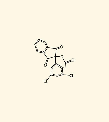 CC(=O)OC1(c2[c]c(Cl)cc(Cl)c2)C(=O)c2ccccc2C1=O